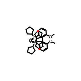 COc1cccc(P(=O)(C2CCCC2)C2CCCC2)c1-c1c(OC)cccc1P(=O)(C1CCCC1)C1CCCC1